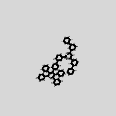 c1ccc(-c2cccc(-c3cc(-c4cccc(-c5ccccc5)c4)nc(-c4cccc(-c5ccc(-c6c(-c7ccccc7)c(-c7ccccc7)nc(-c7ccccc7)c6-c6ccccc6)cc5)c4)n3)c2)cc1